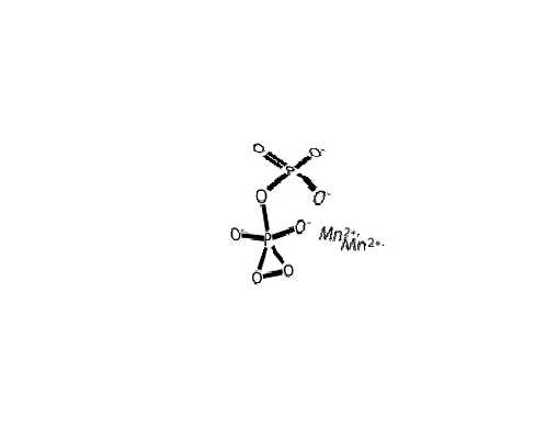 O=P([O-])([O-])OP1([O-])([O-])OO1.[Mn+2].[Mn+2]